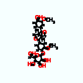 COc1cc([C@H]2OC[C@H]3[C@@H]2CO[C@@H]3c2ccc(O[C@@H]3O[C@H](CO)[C@@H](O)[C@H](O)[C@H]3O)c(OC)c2)ccc1O